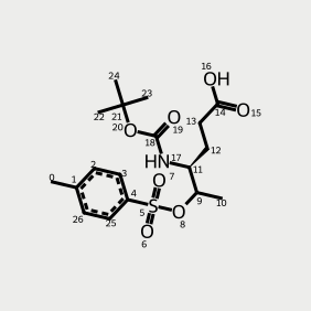 Cc1ccc(S(=O)(=O)OC(C)[C@H](CCC(=O)O)NC(=O)OC(C)(C)C)cc1